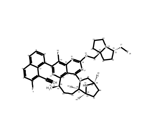 C#Cc1c(F)ccc2cccc(-c3nc4c5c(nc(OC[C@@]67CCCN6[C@H](CF)CC7)nc5c3F)N3C[C@H]5CC[C@H](N5)[C@H]3CC[C@H]4C)c12